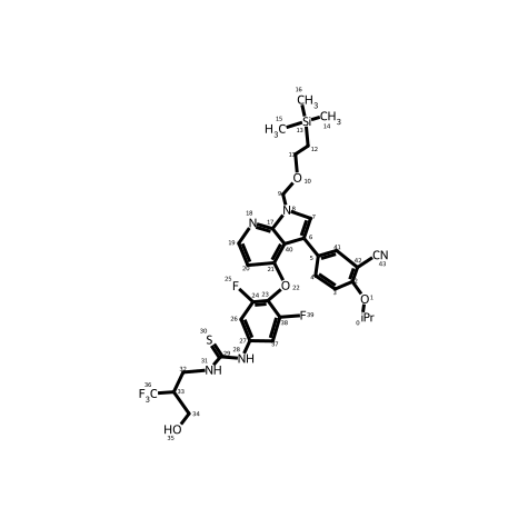 CC(C)Oc1ccc(-c2cn(COCC[Si](C)(C)C)c3nccc(Oc4c(F)cc(NC(=S)NCC(CO)C(F)(F)F)cc4F)c23)cc1C#N